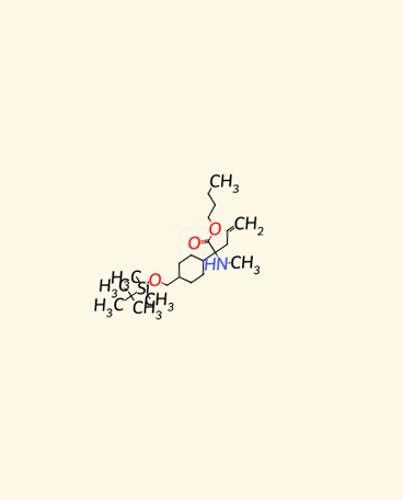 C=CCC(NC)(C(=O)OCCCC)C1CCC(CO[Si](C)(C)C(C)(C)C)CC1